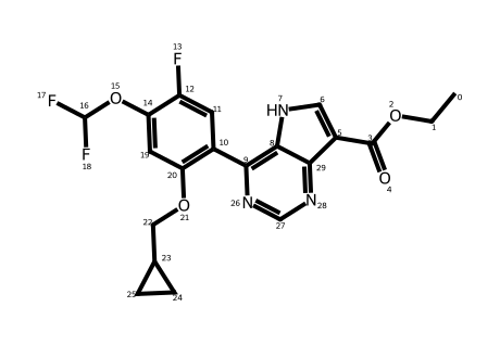 CCOC(=O)c1c[nH]c2c(-c3cc(F)c(OC(F)F)cc3OCC3CC3)ncnc12